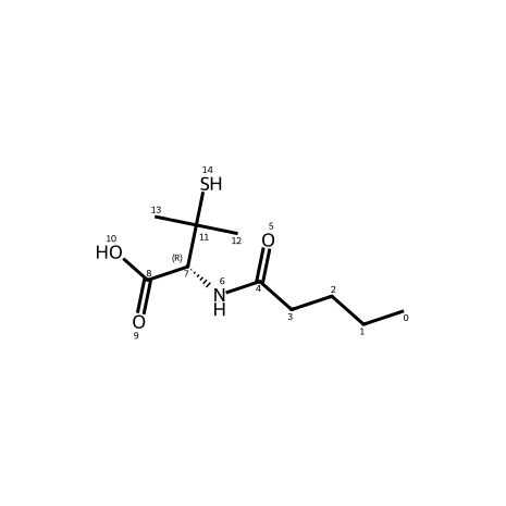 CCCCC(=O)N[C@H](C(=O)O)C(C)(C)S